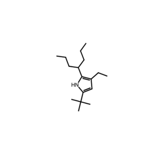 CCCC(CCC)c1[nH]c(C(C)(C)C)cc1CC